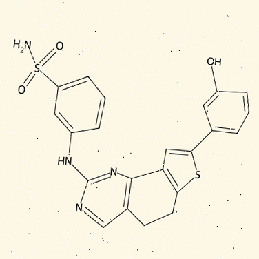 NS(=O)(=O)c1cccc(Nc2ncc3c(n2)-c2cc(-c4cccc(O)c4)sc2CC3)c1